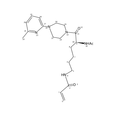 C=CC(=O)NCCCC[C@H](NC(C)=O)C(=O)N1CCN(c2cccc(C)n2)CC1